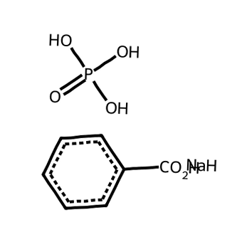 O=C(O)c1ccccc1.O=P(O)(O)O.[NaH]